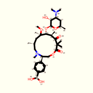 CO[C@]1(C)C[C@@H](C)CN(C)[C@H](c2ccc(B(O)O)cc2)COC(=O)C(C)(C)C(=O)[C@H](C)[C@H]1O[C@@H]1O[C@H](C)C[C@H](N(C)C)[C@H]1O